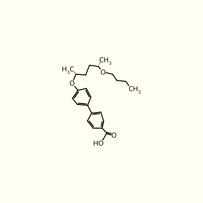 CCCCO[C@@H](C)CC[C@@H](C)Oc1ccc(-c2ccc(C(=O)O)cc2)cc1